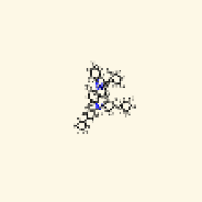 c1ccc(-c2ccc(N(c3ccc(-c4ccccc4)cc3)c3cccc4c3ccc3c(-c5ccccc5)c5ccccc5n34)cc2)cc1